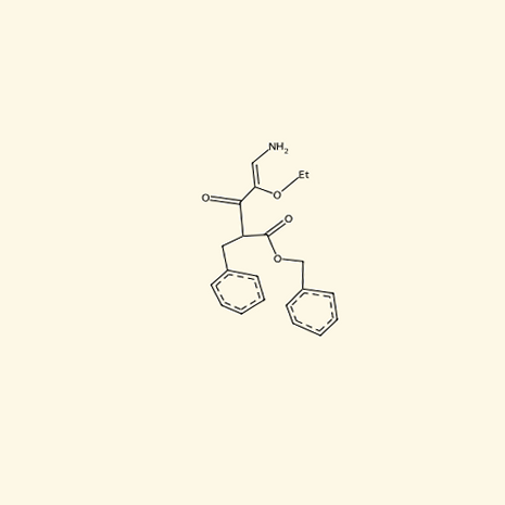 CCOC(=CN)C(=O)C(Cc1ccccc1)C(=O)OCc1ccccc1